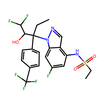 CCC(c1ccc(C(F)(F)F)cc1)(C(O)C(F)F)n1ncc2c(NS(=O)(=O)CC)cc(F)cc21